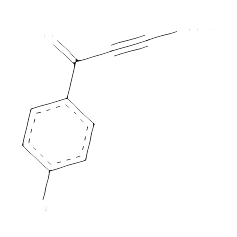 O=C(O)C#CC(=O)c1ccc(Br)cc1